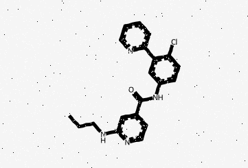 CCCNc1cc(C(=O)Nc2ccc(Cl)c(-c3ccccn3)c2)ccn1